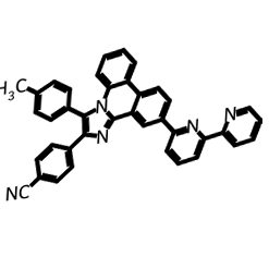 Cc1ccc(-c2c(-c3ccc(C#N)cc3)nc3c4cc(-c5cccc(-c6ccccn6)n5)ccc4c4ccccc4n23)cc1